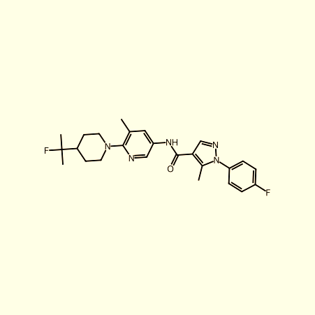 Cc1cc(NC(=O)c2cnn(-c3ccc(F)cc3)c2C)cnc1N1CCC(C(C)(C)F)CC1